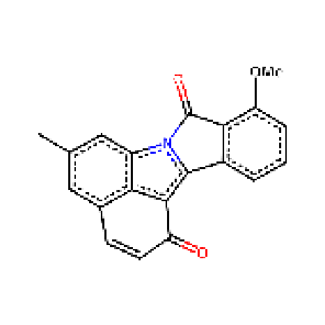 COc1cccc2c1C(=O)n1c-2c2c3c(cc(C)cc31)C=CC2=O